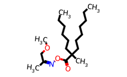 CCCCCCCC(C)(CCCCCC)C(=O)O/N=C(/C)COC